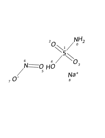 NS(=O)(=O)O.O=N[O-].[Na+]